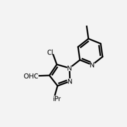 Cc1ccnc(-n2nc(C(C)C)c(C=O)c2Cl)c1